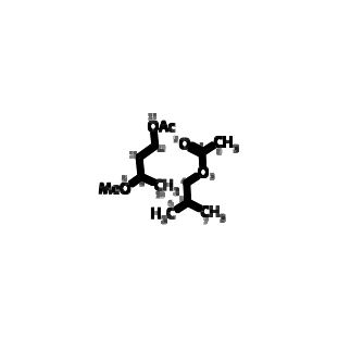 CC(=O)OCC(C)C.COC(C)CCOC(C)=O